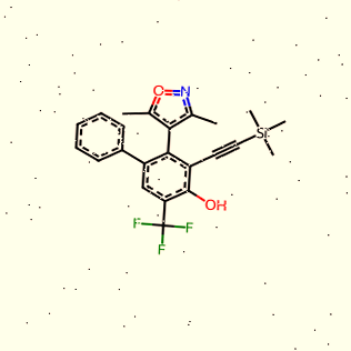 Cc1noc(C)c1-c1c(-c2ccccc2)cc(C(F)(F)F)c(O)c1C#C[Si](C)(C)C